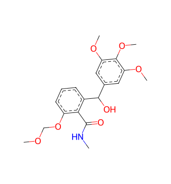 CNC(=O)c1c(OCOC)cccc1C(O)c1cc(OC)c(OC)c(OC)c1